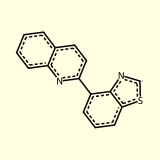 [c]1nc2c(-c3ccc4ccccc4n3)cccc2s1